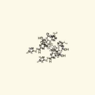 CCn1nnc([C@@H]2O[C@@]3(C4CCC([C@@]56O[C@@H](c7nnn(CC)n7)[C@H](CC(=O)O)[C@@]5(CC(=O)O)Nc5nc(NCCc7cn(C)cn7)nc7c5ncn76)CC4)n4cnc5c(nc(NCCc6cn(C)cn6)nc54)N[C@]3(CC(=O)O)[C@H]2CC(=O)O)n1